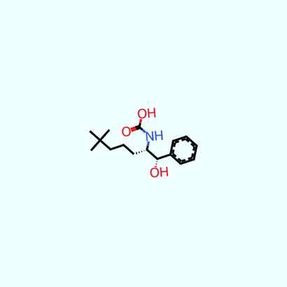 CC(C)(C)CCC[C@H](NC(=O)O)[C@@H](O)c1ccccc1